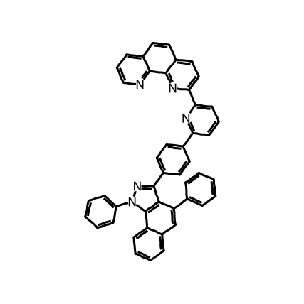 c1ccc(-c2cc3ccccc3c3c2c(-c2ccc(-c4cccc(-c5ccc6ccc7cccnc7c6n5)n4)cc2)nn3-c2ccccc2)cc1